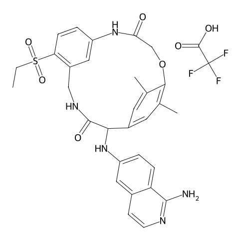 CCS(=O)(=O)c1ccc2cc1CNC(=O)C(Nc1ccc3c(N)nccc3c1)c1cc(C)c(c(C)c1)OCC(=O)N2.O=C(O)C(F)(F)F